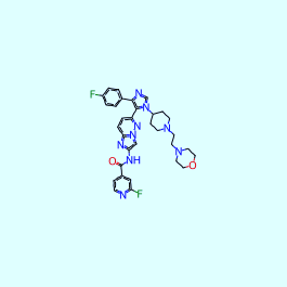 O=C(Nc1cn2nc(-c3c(-c4ccc(F)cc4)ncn3C3CCN(CCN4CCOCC4)CC3)ccc2n1)c1ccnc(F)c1